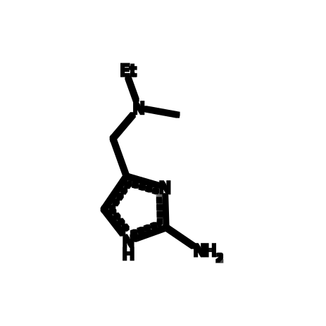 CCN(C)Cc1c[nH]c(N)n1